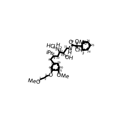 COCCCOc1cc(C[C@@H](C[C@H](N)[C@@H](O)CNC(=O)[C@](C)(OC)c2ccccc2)C(C)C)ccc1OC.Cl